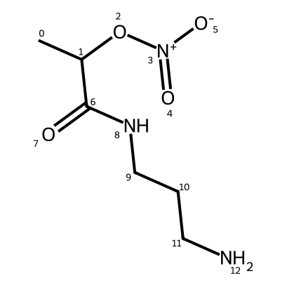 CC(O[N+](=O)[O-])C(=O)NCCCN